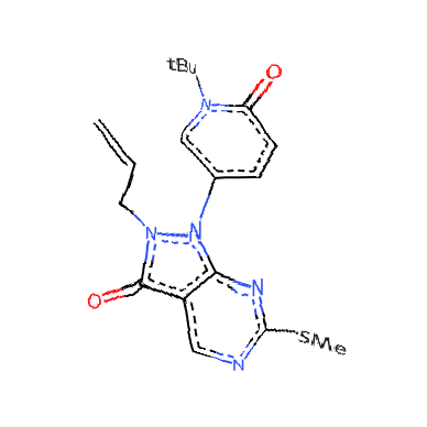 C=CCn1c(=O)c2cnc(SC)nc2n1-c1ccc(=O)n(C(C)(C)C)c1